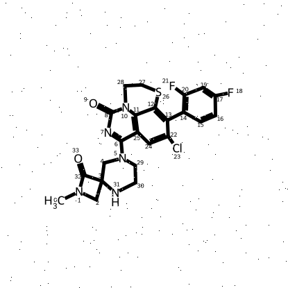 CN1CC2(CN(c3nc(=O)n4c5c(c(-c6ccc(F)cc6F)c(Cl)cc35)SCC4)CCN2)C1=O